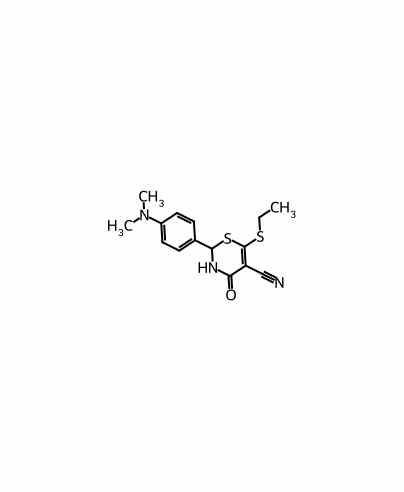 CCSC1=C(C#N)C(=O)NC(c2ccc(N(C)C)cc2)S1